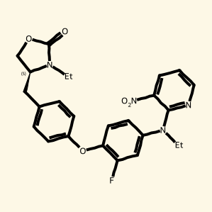 CCN(c1ccc(Oc2ccc(C[C@H]3COC(=O)N3CC)cc2)c(F)c1)c1ncccc1[N+](=O)[O-]